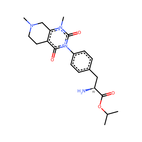 CC(C)OC(=O)[C@@H](N)Cc1ccc(-n2c(=O)c3c(n(C)c2=O)CN(C)CC3)cc1